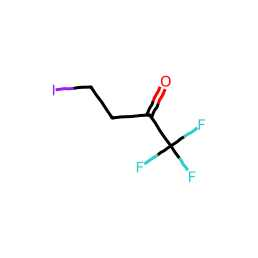 O=C(CCI)C(F)(F)F